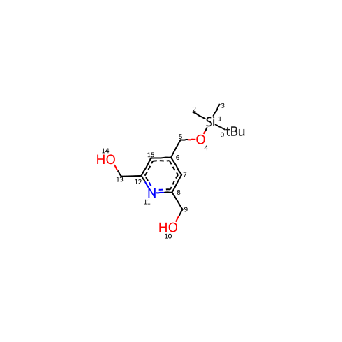 CC(C)(C)[Si](C)(C)OCc1cc(CO)nc(CO)c1